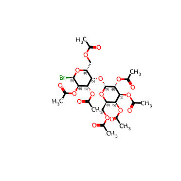 CC(=O)OC[C@H]1O[C@H](Br)[C@H](OC(C)=O)[C@@H](OC(C)=O)[C@H]1O[C@H]1O[C@H](COC(C)=O)[C@H](OC(C)=O)[C@H](OC(C)=O)[C@H]1OC(C)=O